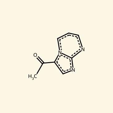 CC(=O)c1cnc2ncccn12